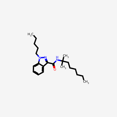 CCCCCCC(C)(C)NC(=O)c1nn(CCCCC)c2ccccc12